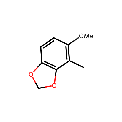 COc1ccc2c(c1C)OCO2